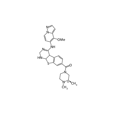 COc1c(NC2=NCNC3Sc4cc(C(=O)N5CCN(C)[C@H](C)C5)ccc4C23)ccn2nccc12